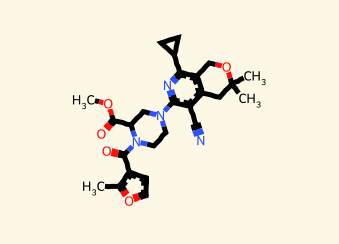 COC(=O)C1CN(c2nc(C3CC3)c3c(c2C#N)CC(C)(C)OC3)CCN1C(=O)c1ccoc1C